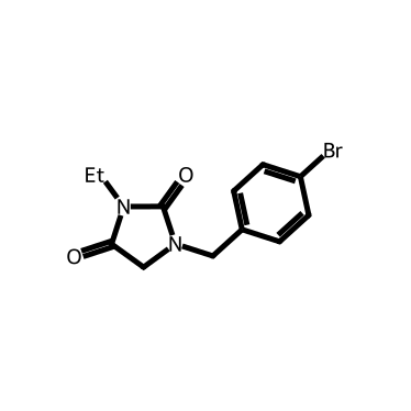 CCN1C(=O)CN(Cc2ccc(Br)cc2)C1=O